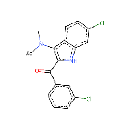 CC(=O)N(C)c1c(C(=O)c2cccc(Cl)c2)[nH]c2cc(Cl)ccc12